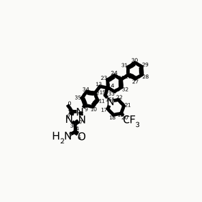 Cc1nc(C(N)=O)nn1-c1ccc(CC2(CN3CCC(C(F)(F)F)CC3)C=CC(c3ccccc3)=CC2)cc1